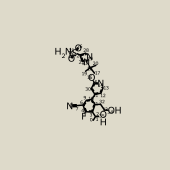 CC(C)c1c(F)c(C#N)cc(-c2ccnc(OCC(C)(C)n3cc(S(N)(=O)=O)cn3)c2)c1CC(O)O